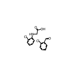 O=C(O)CNc1ccccc1Cl.O=Cc1ccccc1Cl